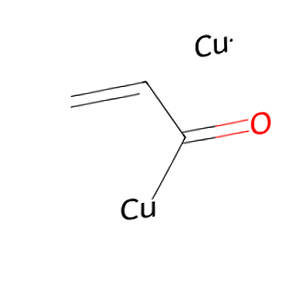 C=C[C](=O)[Cu].[Cu]